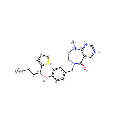 CCN1CCN(Cc2ccc(O[C@@H](CCNC)c3cccs3)cc2)C(=O)c2cncnc21